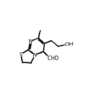 CC1=C(CCO)C(C=O)N2CCSC2=N1